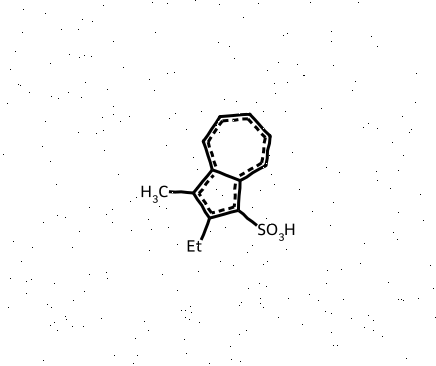 CCc1c(C)c2cccccc-2c1S(=O)(=O)O